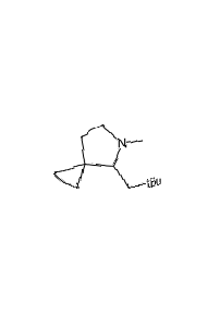 CN1CCC2(CC2)C1CC(C)(C)C